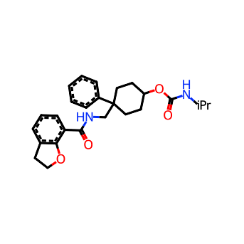 CC(C)NC(=O)OC1CCC(CNC(=O)c2cccc3c2OCC3)(c2ccccc2)CC1